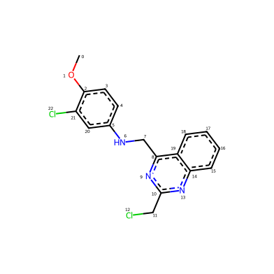 COc1ccc(NCc2nc(CCl)nc3ccccc23)cc1Cl